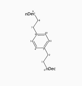 CCCCCCCCCCCCc1ccc(CCCCCCCCCCCC)cc1